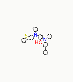 Oc1cc(N(c2ccccc2)c2ccc3c(c2)sc2ccccc23)ccc1N(c1ccccc1)c1ccc(-c2ccccc2)cc1